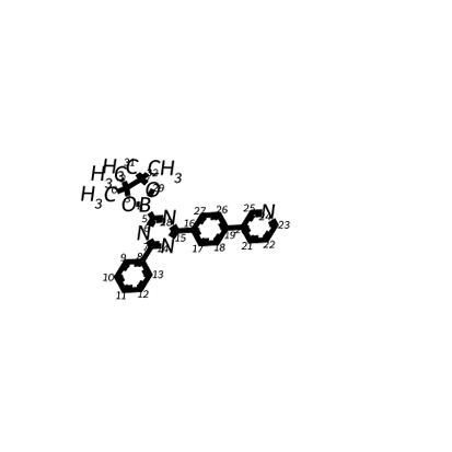 CC1(C)OB(c2nc(-c3ccccc3)nc(-c3ccc(-c4cccnc4)cc3)n2)OC1(C)C